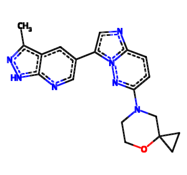 Cc1n[nH]c2ncc(-c3cnc4ccc(N5CCOC6(CC6)C5)nn34)cc12